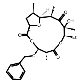 CC[C@H]1OC(=O)[C@H](C)[C@@H](OCc2ccccc2)CC(=O)[C@@]2(C)C[C@@H](C)[C@H](O2)[C@@H](F)C(=O)[C@]1(C)O